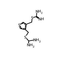 N=C(N)SCc1cscc1CSC(N)N